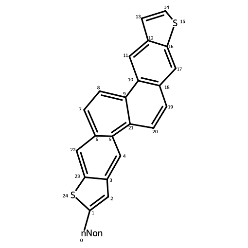 CCCCCCCCCc1cc2cc3c(ccc4c5cc6ccsc6cc5ccc34)cc2s1